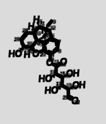 CN1CC[C@]23c4c5ccc(OC(=O)[C@@H](O)[C@@H](O)[C@H](O)[C@@H](O)C=O)c4O[C@H]2[C@@H](O)C=C[C@H]3[C@H]1C5